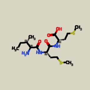 CC[C@H](C)[C@H](N)C(=O)N[C@@H](CCSC)C(=O)N[C@@H](CCSC)C(=O)O